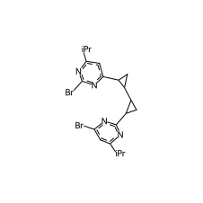 CC(C)c1cc(C2CC2C2CC2c2nc(Br)cc(C(C)C)n2)nc(Br)n1